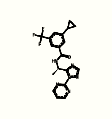 C[C@H](NC(=O)c1cc(C2CC2)cc(C(F)(F)F)c1)c1ncnn1-c1ncccn1